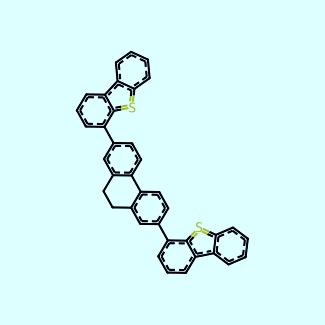 c1ccc2c(c1)sc1c(-c3ccc4c(c3)CCc3cc(-c5cccc6c5sc5ccccc56)ccc3-4)cccc12